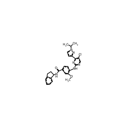 COc1cc(C(=O)NC2CCc3ccccc32)ccc1Nc1ncc(Cl)c(-c2ccn(C(C)C)n2)n1